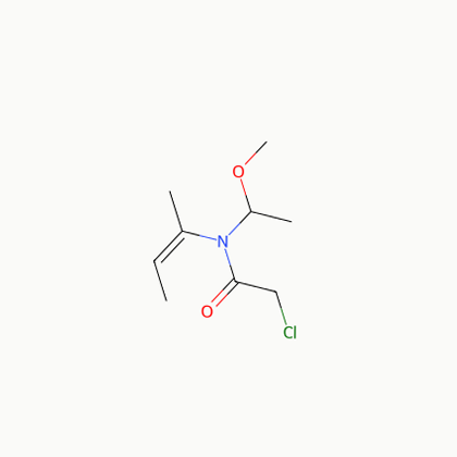 C/C=C(/C)N(C(=O)CCl)C(C)OC